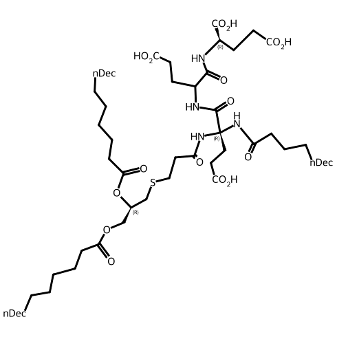 CCCCCCCCCCCCCCCC(=O)OC[C@H](CSCCC(=O)N[C@@](CCC(=O)O)(NC(=O)CCCCCCCCCCCCC)C(=O)NC(CCC(=O)O)C(=O)N[C@H](CCC(=O)O)C(=O)O)OC(=O)CCCCCCCCCCCCCCC